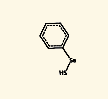 S[Se]c1ccccc1